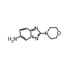 Nc1ccc2nc(N3CCOCC3)nn2c1